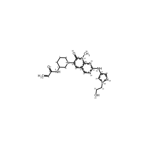 C=CC(=O)NC1CCCN(c2cc3cnc(Nc4cnn(CCO)c4)nc3n(C)c2=O)C1